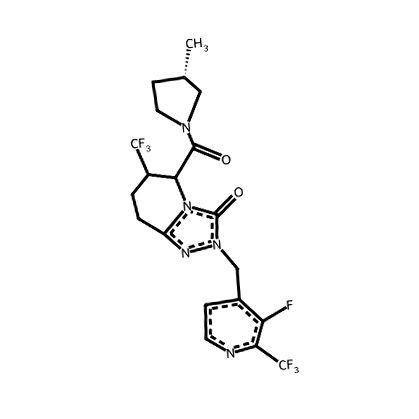 C[C@H]1CCN(C(=O)C2C(C(F)(F)F)CCc3nn(Cc4ccnc(C(F)(F)F)c4F)c(=O)n32)C1